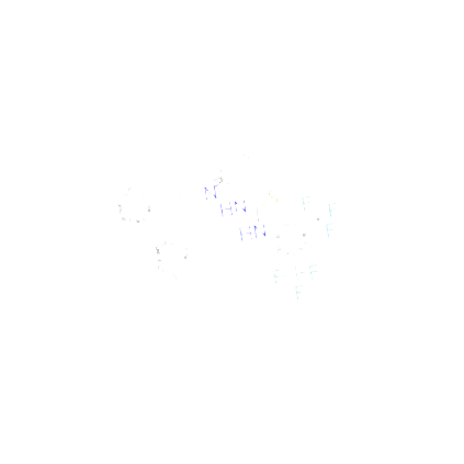 FC(F)(F)c1cc(NC(=S)N[C@H]2CCCC[C@@H]2N(CCCc2ccccc2)CCCc2ccccc2)cc(C(F)(F)F)c1